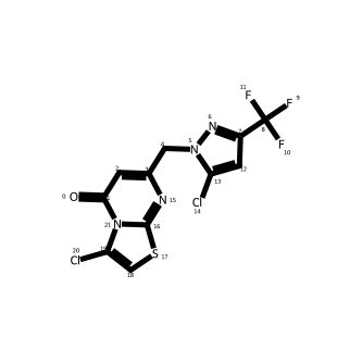 O=c1cc(Cn2nc(C(F)(F)F)cc2Cl)nc2scc(Cl)n12